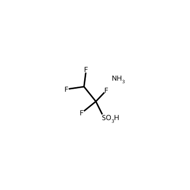 N.O=S(=O)(O)C(F)(F)C(F)F